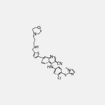 Cn1ccnc1Sc1ccc(Nc2c(C#N)cnc3cc(-c4ccc(CNCCCN5CCOCC5)s4)ccc23)cc1Cl